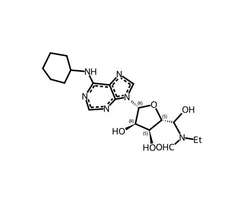 CCN(C=O)C(O)[C@H]1O[C@@H](n2cnc3c(NC4CCCCC4)ncnc32)[C@H](O)[C@@H]1O